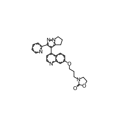 O=C1OCCN1CCCOc1ccc2c(-c3c(-c4ccccn4)nn4c3CCC4)ccnc2c1